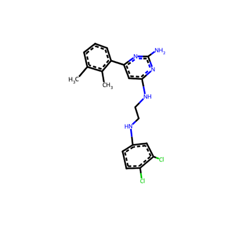 Cc1cccc(-c2cc(NCCNc3ccc(Cl)c(Cl)c3)nc(N)n2)c1C